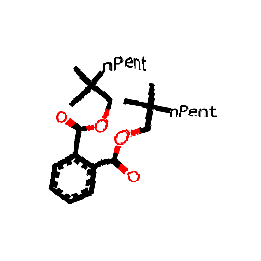 CCCCCC(C)(C)COC(=O)c1ccccc1C(=O)OCC(C)(C)CCCCC